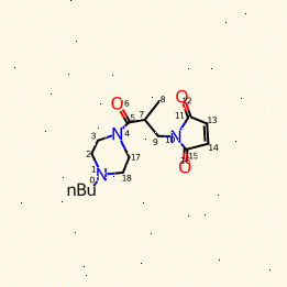 CCCCN1CCN(C(=O)C(C)CN2C(=O)C=CC2=O)CC1